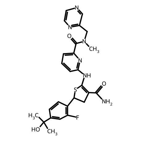 CN(Cc1cnccn1)C(=O)c1cccc(NC2=C(C(N)=O)CC(c3ccc(C(C)(C)O)cc3F)S2)n1